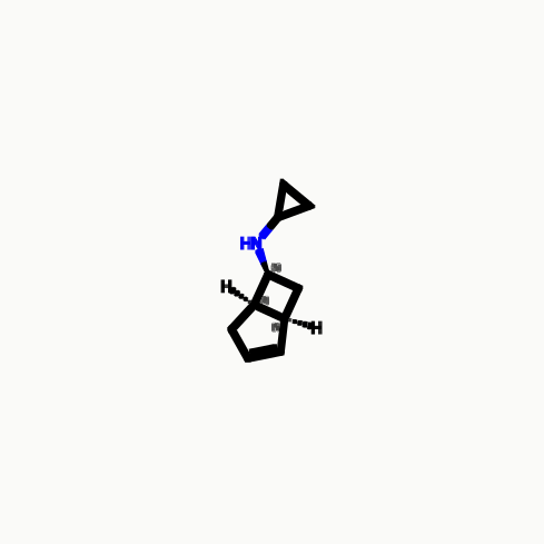 C1=C[C@@H]2C[C@H](NC3CC3)[C@@H]2C1